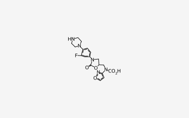 O=C1OC(CN(C(=O)O)c2ccon2)CN1c1ccc(N2CCNCC2)c(F)c1